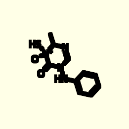 CC1N=CN(Nc2ccccc2)C(=O)[N+]1([O-])S